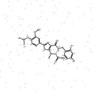 CCOc1cc(-c2nc(C(=O)NCc3ccc(F)cc3F)c([C@H](C)OC(N)=O)o2)ccc1OC(F)F